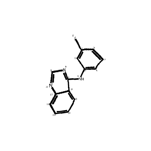 Ic1cccc(Nc2ncnc3ccccc23)c1